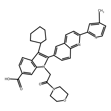 Cc1ccnc(-c2ccc3cc(-c4c(C5CCCCC5)c5ccc(C(=O)O)cc5n4CC(=O)N4CCOCC4)ccc3n2)c1